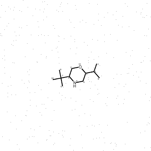 CC(C)C1CNC(C(C)(C)C)CO1